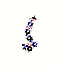 CCN(C(=O)c1cc(F)ccc1Oc1cncnc1N1CC2(CCN(CC3CCN(S(=O)(=O)N4CCN(C(=O)OC(C)(C)C)CC4)CC3)CC2)C1)C(C)C